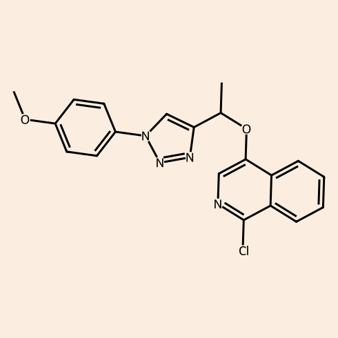 COc1ccc(-n2cc(C(C)Oc3cnc(Cl)c4ccccc34)nn2)cc1